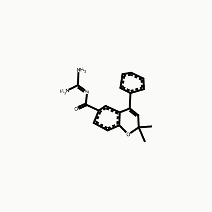 CC1(C)C=C(c2ccccc2)c2cc(C(=O)N=C(N)N)ccc2O1